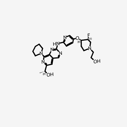 C[C@@H](O)c1cc2cnc(Nc3ccc(O[C@@H]4CCN(CCO)C[C@@H]4F)cn3)nc2c(N2CCCCC2)n1